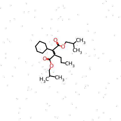 CCCC(C(=O)OCC(C)C)=C(C(=O)OCC(C)C)C1CCCCC1